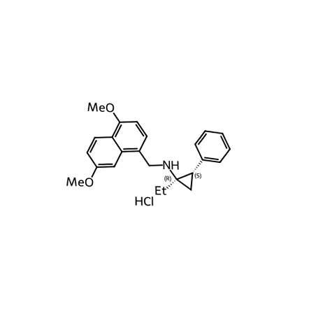 CC[C@@]1(NCc2ccc(OC)c3ccc(OC)cc23)C[C@H]1c1ccccc1.Cl